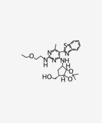 CCOCCNc1nc(C)c(-c2nc3ccccc3s2)c(N[C@@H]2C[C@H](CO)[C@H]3OC(C)(C)O[C@H]32)n1